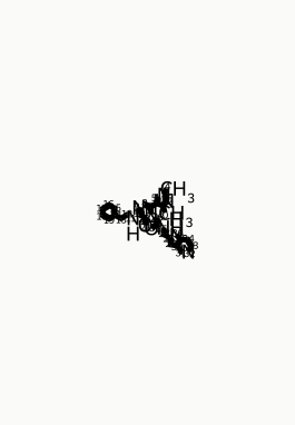 Cc1nn(C)cc1-c1cnc(NCCc2ccccc2)c(=O)n1CC(=O)NCc1cc2cnccc2[nH]1